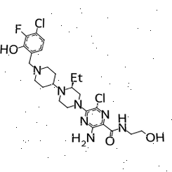 CC[C@H]1CN(c2nc(N)c(C(=O)NCCO)nc2Cl)CCN1C1CCN(Cc2ccc(Cl)c(F)c2O)CC1